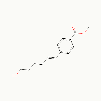 COC(=O)c1ccc(C=CCCCCO)cc1